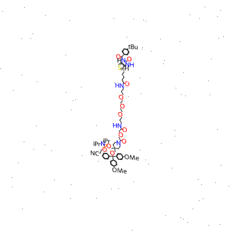 COc1ccc(C(OCC2(COP(OCCC#N)N(C(C)C)C(C)C)CCN(C(=O)COCC(=O)NCCCOCCOCCOCCCNC(=O)CCCC[C@@H]3SC[C@H]4[C@@H]3NC(=O)N4C(=O)c3ccc(C(C)(C)C)cc3)CC2)(c2ccccc2)c2ccc(OC)cc2)cc1